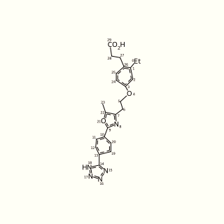 CCc1cc(OCCc2nc(-c3ccc(-c4nnn[nH]4)cc3)oc2C)ccc1CCC(=O)O